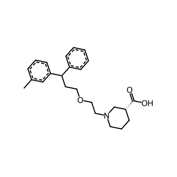 Cc1cccc(C(CCOCCN2CCC[C@@H](C(=O)O)C2)c2ccccc2)c1